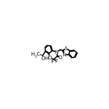 C[C@H](O)c1cccc2c1OC(F)(F)C(=O)N2Cc1nc2ccccc2s1